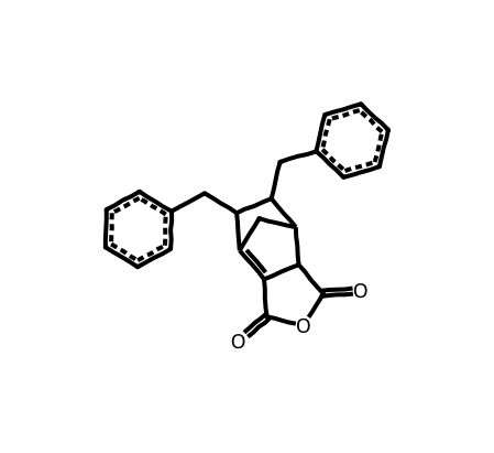 O=C1OC(=O)C2C1=C1CC2C(Cc2ccccc2)C1Cc1ccccc1